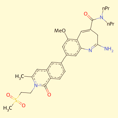 CCCN(CCC)C(=O)C1=Cc2c(cc(-c3ccc4c(=O)n(CCS(C)(=O)=O)c(C)cc4c3)cc2OC)N=C(N)C1